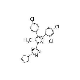 Cc1c(-c2nnc(C3CC=CC3)s2)nn(-c2ccc(Cl)cc2Cl)c1-c1ccc(Cl)cc1